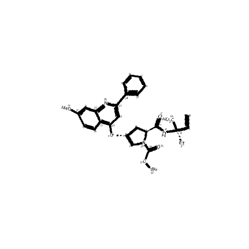 C=C[C@@](CC)(NC(=O)[C@@H]1C[C@@H](Oc2cc(-c3ccccc3)nc3cc(OC)ccc23)CN1C(=O)OC(C)(C)C)C(=O)O